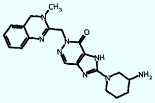 CN1Cc2ccccc2N=C1Cn1ncc2nc(N3CCCC(N)C3)[nH]c2c1=O